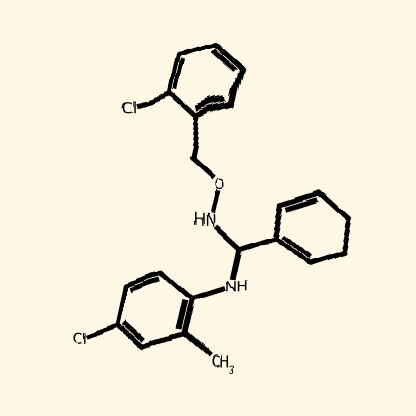 Cc1cc(Cl)ccc1NC(NOCc1ccccc1Cl)C1=CCCC=C1